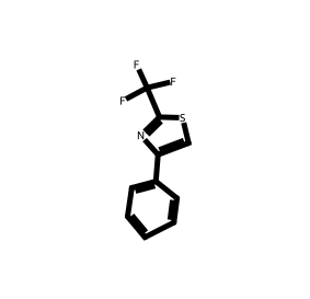 FC(F)(F)c1nc(-c2ccccc2)cs1